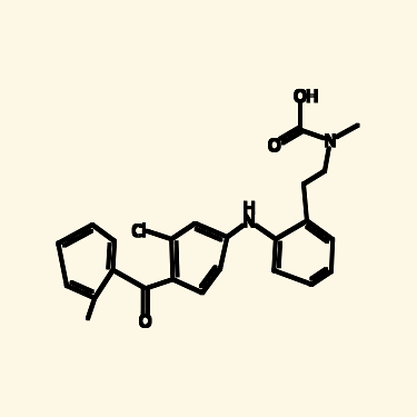 Cc1ccccc1C(=O)c1ccc(Nc2ccccc2CCN(C)C(=O)O)cc1Cl